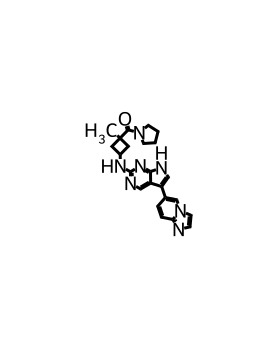 CC1(C(=O)N2CCCC2)CC(Nc2ncc3c(-c4ccc5nccn5c4)c[nH]c3n2)C1